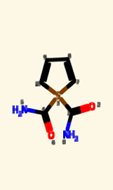 NC(=O)S1(C(N)=O)C=CC=C1